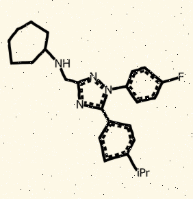 CC(C)c1ccc(-c2nc(CNC3CCCCCC3)nn2-c2ccc(F)cc2)cc1